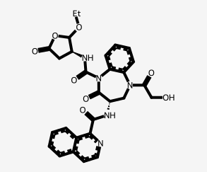 CCOC1OC(=O)C[C@@H]1NC(=O)N1C(=O)[C@@H](NC(=O)c2nccc3ccccc23)CN(C(=O)CO)c2ccccc21